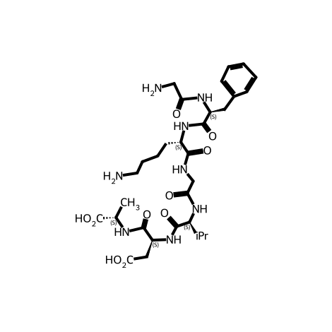 CC(C)[C@H](NC(=O)CNC(=O)[C@H](CCCCN)NC(=O)[C@H](Cc1ccccc1)NC(=O)CN)C(=O)N[C@@H](CC(=O)O)C(=O)N[C@@H](C)C(=O)O